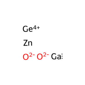 [Ga].[Ge+4].[O-2].[O-2].[Zn]